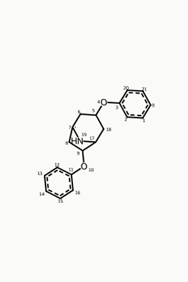 c1ccc(OC2C[C]3CC(Oc4ccccc4)C(C2)N3)cc1